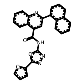 O=C(Nc1nnc(-c2ccco2)o1)c1cc(-c2cccc3ccccc23)nc2ccccc12